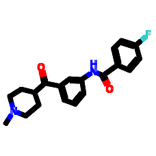 CN1CCC(C(=O)c2cccc(NC(=O)c3ccc(F)cc3)c2)CC1